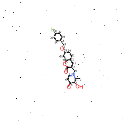 Cc1c(O)c(=O)ccn1Cc1cc2ccc(OCc3ccc(F)cc3)cc2oc1=O